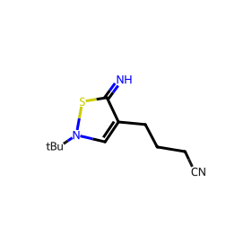 CC(C)(C)n1cc(CCCC#N)c(=N)s1